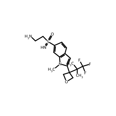 Cn1c(C2(C(C)(C)C(F)(F)F)COC2)cc2ccc(S(=N)(=O)CCN)cc21